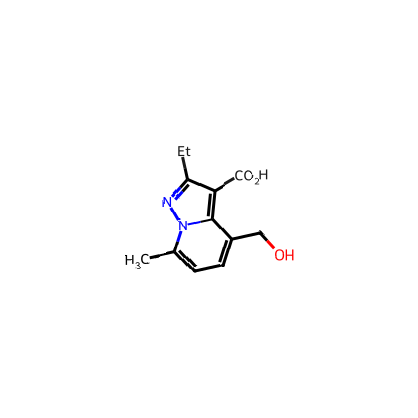 CCc1nn2c(C)ccc(CO)c2c1C(=O)O